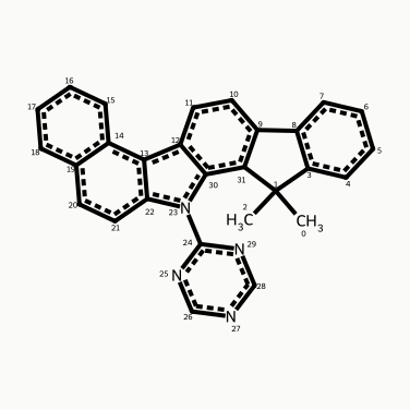 CC1(C)c2ccccc2-c2ccc3c4c5ccccc5ccc4n(-c4ncncn4)c3c21